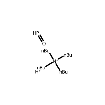 CCCC[N+](CCCC)(CCCC)CCCC.O=P.[H+]